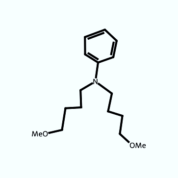 COCCCCN(CCCCOC)c1ccccc1